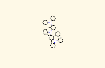 c1ccc(-c2c3c(cc4c5cccc6c5n(c24)-c2cccc4c2B6c2ccccc2N4c2ccccc2)c2ccccc2n3-c2ccccc2)cc1